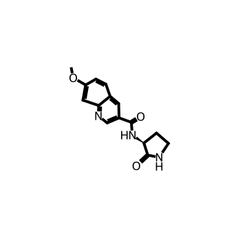 COc1ccc2cc(C(=O)N[C@H]3CCNC3=O)cnc2c1